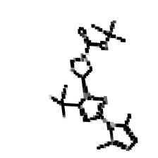 Cc1ccc(C)n1-c1cc(C(C)(C)C)n([C@H]2CCN(C(=O)OC(C)(C)C)C2)n1